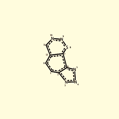 c1cc2nnnc2c2snncc12